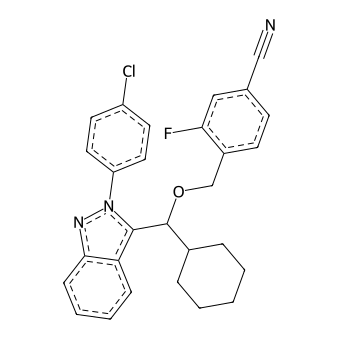 N#Cc1ccc(COC(c2c3ccccc3nn2-c2ccc(Cl)cc2)C2CCCCC2)c(F)c1